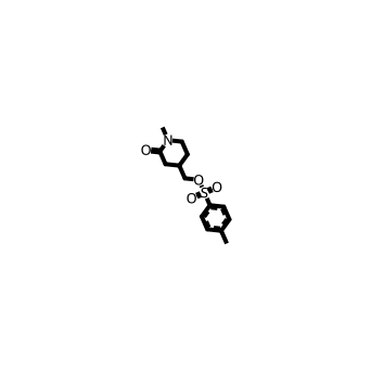 Cc1ccc(S(=O)(=O)OCC2CCN(C)C(=O)C2)cc1